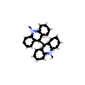 C[n+]1c2ccccc2c(-c2c3ccccc3[n+](C)c3ccccc23)c2ccccc21